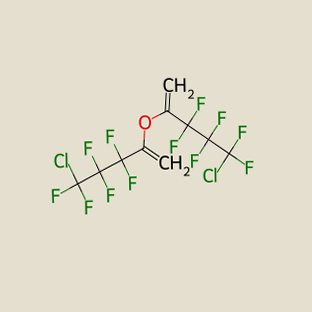 C=C(OC(=C)C(F)(F)C(F)(F)C(F)(F)Cl)C(F)(F)C(F)(F)C(F)(F)Cl